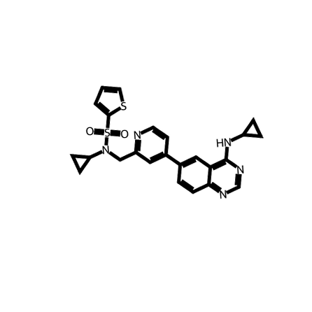 O=S(=O)(c1cccs1)N(Cc1cc(-c2ccc3ncnc(NC4CC4)c3c2)ccn1)C1CC1